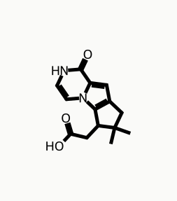 CC1(C)Cc2cc3c(=O)[nH]ccn3c2C1CC(=O)O